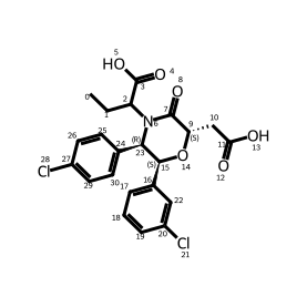 CCC(C(=O)O)N1C(=O)[C@H](CC(=O)O)O[C@@H](c2cccc(Cl)c2)[C@H]1c1ccc(Cl)cc1